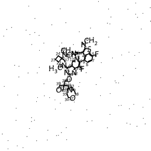 C=Nc1sc2c(F)ccc(-c3ncc4c(N(C)CC5(N(C)C)CCC5)nc(OCC5(CN6C7CCC6COC7)COC5)nc4c3F)c2c1C#N